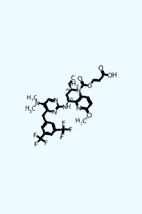 CC[C@@H]1C[C@H](Nc2ncc(N(C)C)c(Cc3cc(C(F)(F)F)cc(C(F)(F)F)c3)n2)c2nc(OC)ccc2N1C(=O)OCCC(=O)O